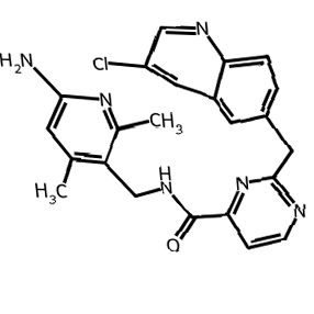 Cc1cc(N)nc(C)c1CNC(=O)c1ccnc(Cc2ccc3ncc(Cl)cc3c2)n1